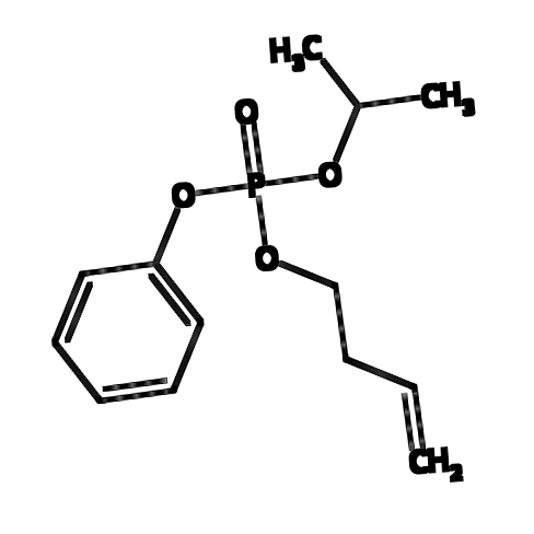 C=CCCOP(=O)(Oc1ccccc1)OC(C)C